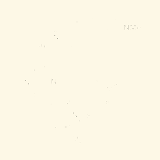 CNCc1ccc(-c2cc(-c3cncc(-c4ccc(=O)n(Cc5ccoc5)c4)n3)on2)cc1